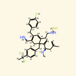 C=C(C)C/C(=N\C)C(=C)C1(Cc2ccc(C(C)(F)F)cc2)CC(C=N)=C(Cc2ccc(F)cc2)C=C1CCNS